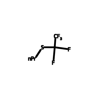 [CH2]CCSC(F)(F)C(F)(F)F